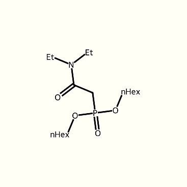 CCCCCCOP(=O)(CC(=O)N(CC)CC)OCCCCCC